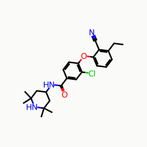 CCc1cccc(Oc2ccc(C(=O)NC3CC(C)(C)NC(C)(C)C3)cc2Cl)c1C#N